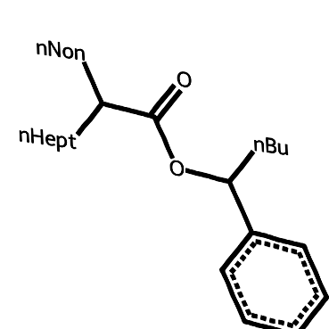 CCCCCCCCCC(CCCCCCC)C(=O)OC(CCCC)c1ccccc1